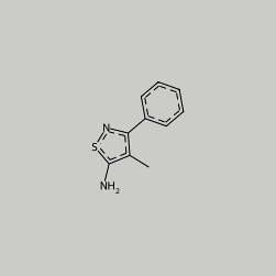 Cc1c(-c2ccccc2)nsc1N